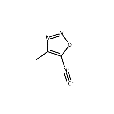 [C-]#[N+]c1onnc1C